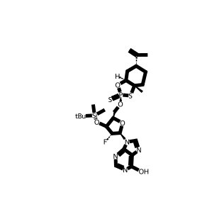 C=C(C)[C@@H]1CC[C@]2(C)S[P@@](=S)(OC[C@H]3O[C@@H](n4cnc5c(O)ncnc54)[C@H](F)C3O[Si](C)(C)C(C)(C)C)O[C@H]2C1